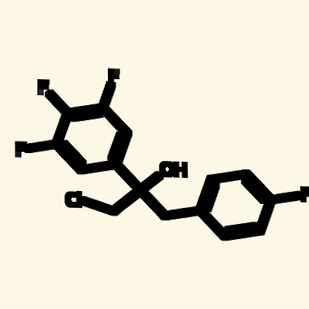 OC(CCl)(Cc1ccc(F)cc1)c1cc(F)c(F)c(F)c1